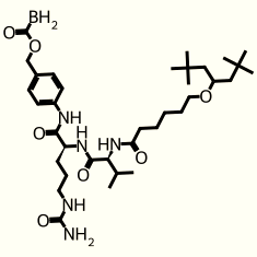 BC(=O)OCc1ccc(NC(=O)[C@H](CCCNC(N)=O)NC(=O)[C@@H](NC(=O)CCCCCOC(CC(C)(C)C)CC(C)(C)C)C(C)C)cc1